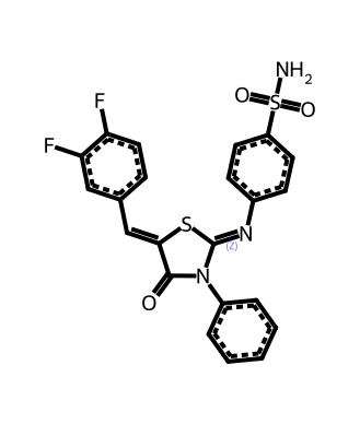 NS(=O)(=O)c1ccc(/N=C2\SC(=Cc3ccc(F)c(F)c3)C(=O)N2c2ccccc2)cc1